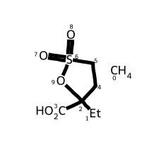 C.CCC1(C(=O)O)CCS(=O)(=O)O1